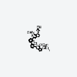 COc1nc(-c2cccc(-c3cccc(-c4cc5c(c(OC)n4)[C@@H](N4CC(C)C4)CC5)c3Cl)c2F)cc2c1[C@H](N1CC(O)C1)CC2